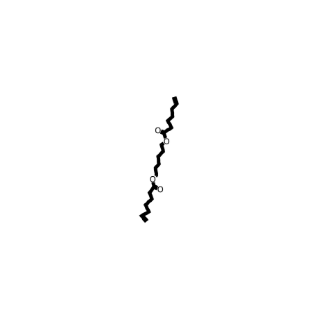 C=CCCCCC(=O)OCCCCCCOC(=O)CCCCC=C